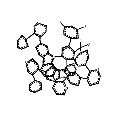 Fc1cc(F)cc(-c2cc(-n3c4cc(-c5cccnc5-c5ccccc5)ccc4c4ccc(-c5cccnc5-c5ccccc5)cc43)c(-n3c4cc(-c5ccncc5-c5ccccc5)ccc4c4ccc(-c5cccnc5-c5ccccc5)cc43)cc2C(F)(F)F)c1